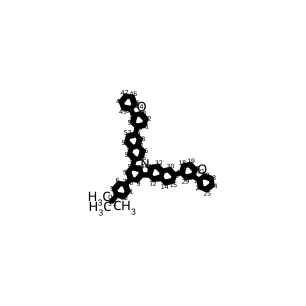 CC(C)(C)c1ccc(-c2cc3c4cc5ccc(-c6ccc7oc8ccccc8c7c6)cc5cc4n4c5cc6cc(-c7ccc8oc9ccccc9c8c7)ccc6cc5c(c2)c34)cc1